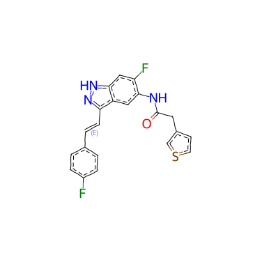 O=C(Cc1ccsc1)Nc1cc2c(/C=C/c3ccc(F)cc3)n[nH]c2cc1F